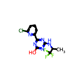 CC(Nc1nc(O)nc(-c2cccc(Cl)n2)n1)C(F)(F)F